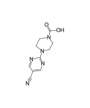 N#Cc1cnc(N2CCN(C(=O)O)CC2)nc1